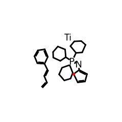 C1=CCC(N=P(C2CCCCC2)(C2CCCCC2)C2CCCCC2)=C1.C=CC=Cc1ccccc1.[Ti]